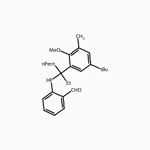 CCCCCC(CC)(Pc1ccccc1C=O)c1cc(C(C)(C)C)cc(C)c1OC